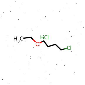 CCOCCCCCl.Cl